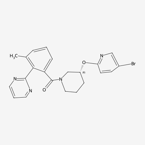 Cc1cccc(C(=O)N2CCC[C@@H](Oc3ccc(Br)cn3)C2)c1-c1ncccn1